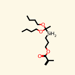 C=C(C)C(=O)OCCC[SiH2]C(C)(OCCCC)OCCCC